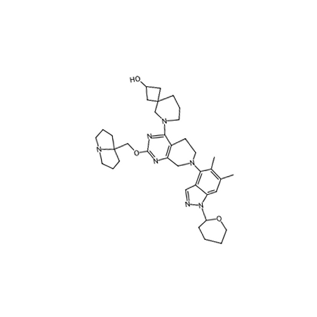 Cc1cc2c(cnn2C2CCCCO2)c(N2CCc3c(nc(OCC45CCCN4CCC5)nc3N3CCCC4(CC(O)C4)C3)C2)c1C